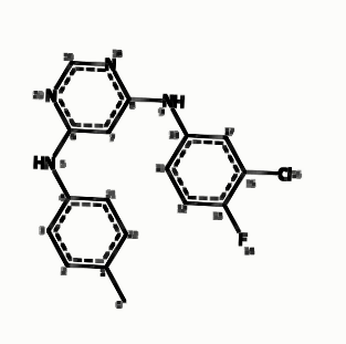 Cc1ccc(Nc2cc(Nc3ccc(F)c(Cl)c3)ncn2)cc1